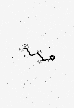 CC(=CCSc1ccccc1)CCCC(C)CCCC(C)CCCC(C)C